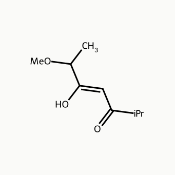 COC(C)/C(O)=C/C(=O)C(C)C